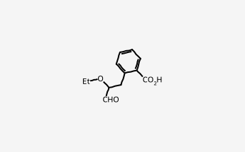 CCOC(C=O)Cc1ccccc1C(=O)O